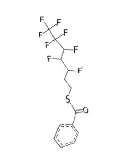 O=C(SCCC(F)C(F)C(F)C(F)(F)C(F)(F)F)c1ccccc1